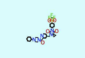 O=C(c1cc(CN2C(=O)N(c3ccc(S(=O)(=O)C(F)(F)F)cc3)C(=O)C23CC3)ccn1)N1CCN(c2ccccc2)CC1